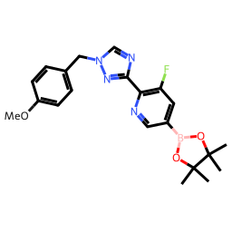 COc1ccc(Cn2cnc(-c3ncc(B4OC(C)(C)C(C)(C)O4)cc3F)n2)cc1